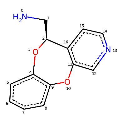 NC[C@@H]1Oc2ccccc2Oc2cnccc21